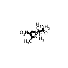 Cc1nn(C(C)(C)C(N)=O)cc1[N+](=O)[O-]